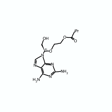 CC(C)C(=O)OCCO[C@H](CO)n1cnc2c(N)nc(N)nc21